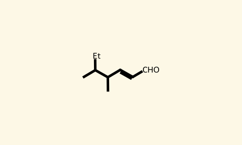 CCC(C)C(C)C=CC=O